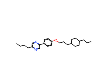 CCCCc1cnc(-c2ccc(OCCCC3CCC(CCC)CC3)cc2)cn1